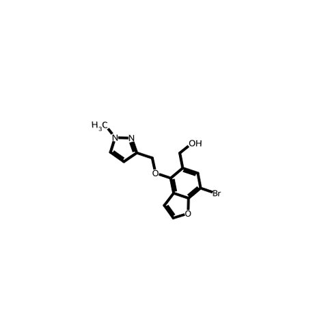 Cn1ccc(COc2c(CO)cc(Br)c3occc23)n1